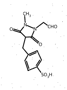 CN1C(=O)C(Cc2ccc(S(=O)(=O)O)cc2)C(=O)N1CC=O